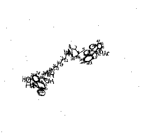 CC(=O)NC(C(=O)OCC1CCN(CCCCCCCCCNCC(O)c2ccc(O)c3[nH]c(=O)ccc23)CC1)(c1ccccc1)c1ccccc1